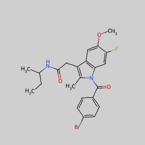 CCC(C)NC(=O)Cc1c(C)n(C(=O)c2ccc(Br)cc2)c2cc(F)c(OC)cc12